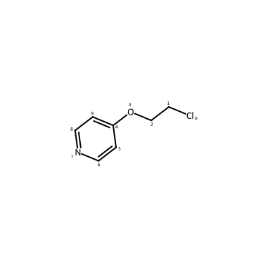 ClCCOc1ccncc1